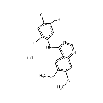 COc1cc2ncnc(Nc3cc(O)c(Cl)cc3F)c2cc1OC.Cl